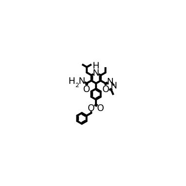 CCC1=C(c2nnc(C)o2)C(c2ccc(C(=O)OCc3ccccc3)cc2)C(C(N)=O)=C(CC(C)C)N1